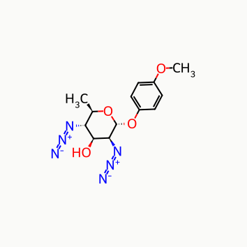 COc1ccc(O[C@H]2O[C@H](C)[C@@H](N=[N+]=[N-])[C@H](O)[C@@H]2N=[N+]=[N-])cc1